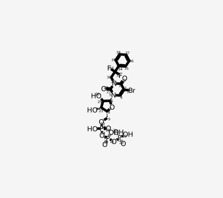 O=c1c(Br)cn([C@@H]2O[C@H](COP(=O)(O)OP(=O)(O)OP(=O)(O)O)[C@H](O)C2O)c(=O)n1CC(F)(F)c1ccccc1